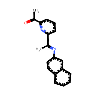 CC(=O)c1cccc(/C(C)=N/c2ccc3ccccc3c2)n1